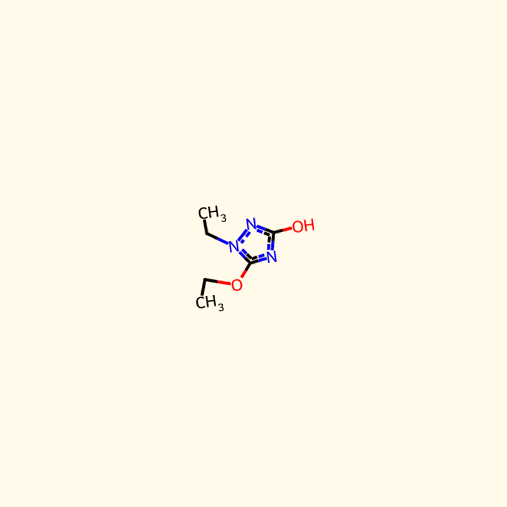 CCOc1nc(O)nn1CC